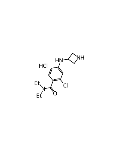 CCN(CC)C(=O)c1ccc(NC2CNC2)cc1Cl.Cl